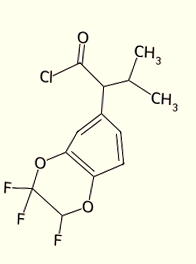 CC(C)C(C(=O)Cl)c1ccc2c(c1)OC(F)(F)C(F)O2